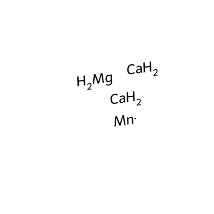 [CaH2].[CaH2].[MgH2].[Mn]